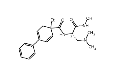 CCC1(C(=O)N[C@@H](CN(C)C)C(=O)NO)C=CC(c2ccccc2)=CC1